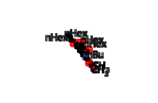 CCCCCCC(CCCCCC)CCCOC(=O)CCCCCN(CCOCCN(C)C)C(CCCC)C(=O)OCCCC(CCCCCC)CCCCCC